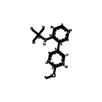 COc1ncc(-c2cnccc2SC(C)(C)C)cn1